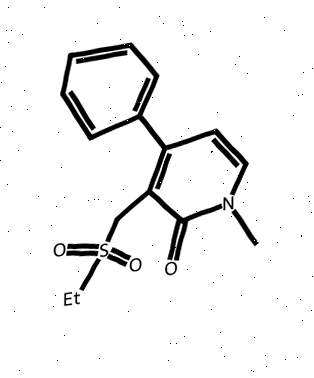 CCS(=O)(=O)Cc1c(-c2ccccc2)ccn(C)c1=O